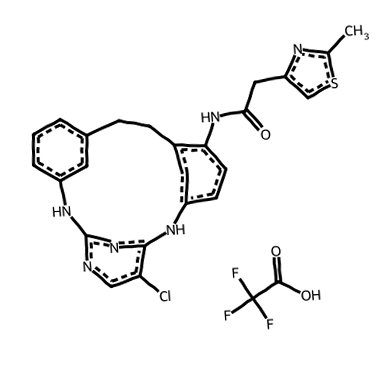 Cc1nc(CC(=O)Nc2ccc3cc2CCc2cccc(c2)Nc2ncc(Cl)c(n2)N3)cs1.O=C(O)C(F)(F)F